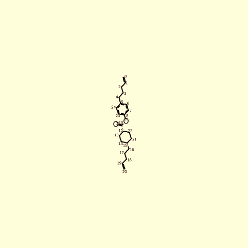 C=CCCCc1ccc(OC(=O)[C@H]2CC[C@H](CCCC=C)CC2)cc1